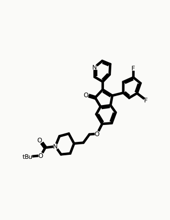 CC(C)(C)OC(=O)N1CCC(CCOc2ccc3c(c2)C(=O)C(c2cccnc2)=C3c2cc(F)cc(F)c2)CC1